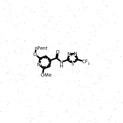 CCCCCOc1cc(C(=O)Nc2nnc(C(F)(F)F)s2)cc(OC)n1